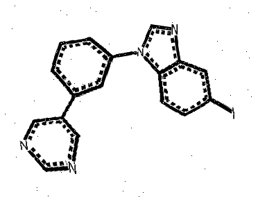 Ic1ccc2c(c1)ncn2-c1cccc(-c2cncnc2)c1